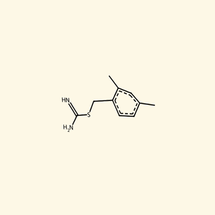 Cc1ccc(CSC(=N)N)c(C)c1